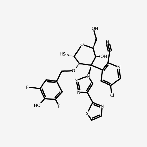 N#Cc1ncc(Cl)cc1[C@@]1(n2cc(-c3nccs3)nn2)[C@H](O)[C@H](CO)O[C@@H](S)[C@H]1OCc1cc(F)c(O)c(F)c1